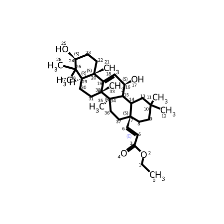 CCOC(=O)/C=C/[C@]12CCC(C)(C)CC1C1[C@H](O)C=C3[C@@]4(C)CC[C@H](O)C(C)(C)[C@@H]4CC[C@@]3(C)[C@]1(C)CC2